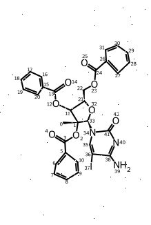 C[C@@]1(OC(=O)c2ccccc2)C(OC(=O)c2ccccc2)[C@@H](COC(=O)c2ccccc2)O[C@H]1n1cc(I)c(N)nc1=O